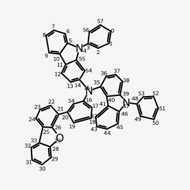 c1ccc(-n2c3ccccc3c3ccc(N(c4cccc(-c5cccc6c5oc5ccccc56)c4)c4cccc5c4c4ccccc4n5-c4ccccc4)cc32)cc1